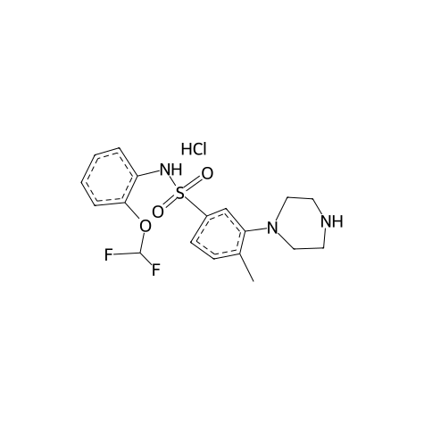 Cc1ccc(S(=O)(=O)Nc2ccccc2OC(F)F)cc1N1CCNCC1.Cl